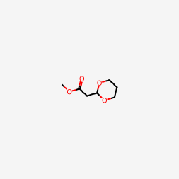 COC(=O)CC1OCCCO1